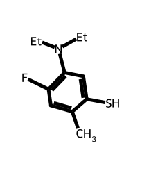 CCN(CC)c1cc(S)c(C)cc1F